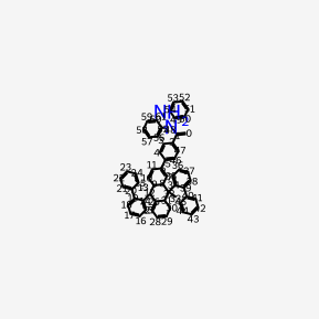 C=C(c1ccc(C2=CC3C(C=C2)[C@](C)(c2ccccc2-c2ccccc2)C2=CC=CCC2C3(C)c2ccccc2-c2ccccc2)cc1)N(c1ccccc1)c1ccccc1N